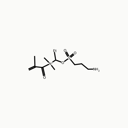 C=C(C)C(=O)[N+](C)(C)C(CC)OS(=O)(=O)CCCN